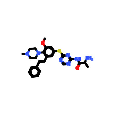 COc1cc(Sc2ncnc(NC(=O)C(C)N)n2)cc(C=Cc2ccccc2)c1N1CCN(C)CC1